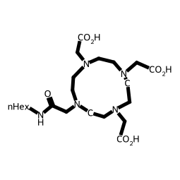 CCCCCCNC(=O)CN1CCN(CC(=O)O)CCN(CC(=O)O)CCN(CC(=O)O)CC1